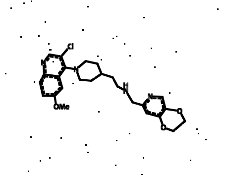 COc1ccc2ncc(Cl)c(N3CCC(CCNCc4cc5c(cn4)OCCO5)CC3)c2c1